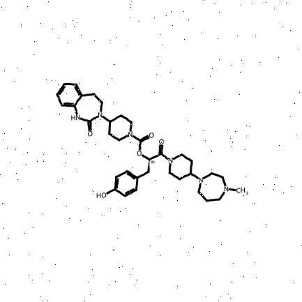 CN1CCCN(C2CCN(C(=O)[C@@H](Cc3ccc(O)cc3)OC(=O)N3CCC(N4CCc5ccccc5NC4=O)CC3)CC2)CC1